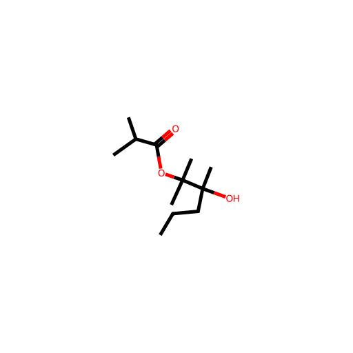 CCCC(C)(O)C(C)(C)OC(=O)C(C)C